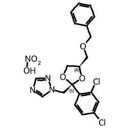 Clc1ccc([C@]2(Cn3cncn3)OC[C@@H](COCc3ccccc3)O2)c(Cl)c1.O=[N+]([O-])O